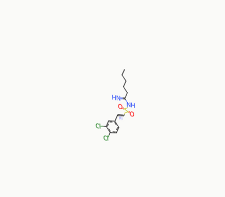 CCCCCC(=N)NS(=O)(=O)/C=C/c1ccc(Cl)c(Cl)c1